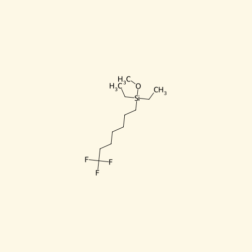 CC[Si](CC)(CCCCCCC(F)(F)F)OC